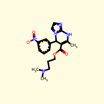 CC1=C(C(=O)OCCCN(C)C)C(c2cccc([N+](=O)[O-])c2)n2ccnc2N1